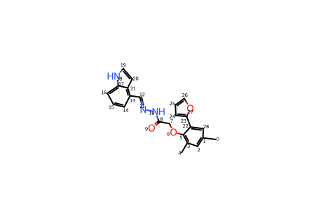 Cc1cc(C)c(OCC(=O)NN=Cc2cccc3[nH]ccc23)c(-c2ccco2)c1